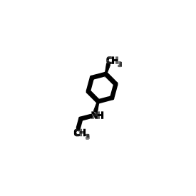 CCN[C@H]1CC[C@@H](C)CC1